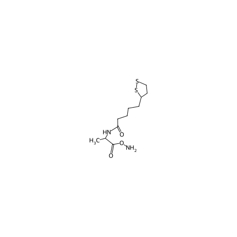 CC(NC(=O)CCCCC1CCSS1)C(=O)ON